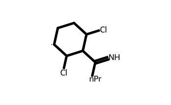 CCCC(=N)C1C(Cl)[CH]CCC1Cl